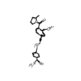 CC1CCCN1C(=O)c1ccc(C#CCNc2ccc(C(=N)N)cc2)cc1CO